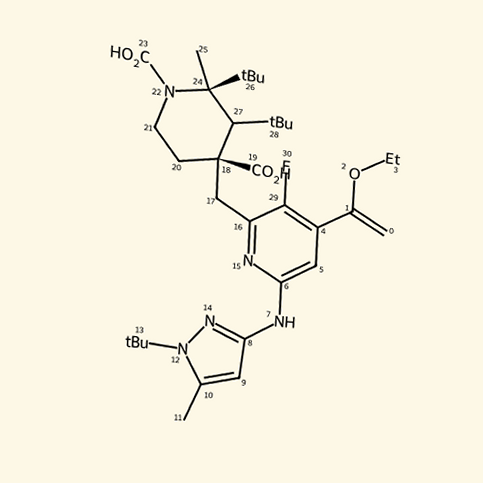 C=C(OCC)c1cc(Nc2cc(C)n(C(C)(C)C)n2)nc(C[C@]2(C(=O)O)CCN(C(=O)O)[C@@](C)(C(C)(C)C)C2C(C)(C)C)c1F